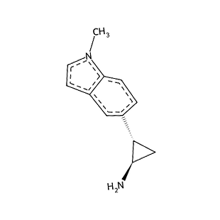 Cn1ccc2cc([C@@H]3C[C@H]3N)ccc21